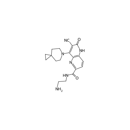 N#Cc1c(N2CCC3(CC2)CC3)c2nc(C(=O)NCCN)ccc2[nH]c1=O